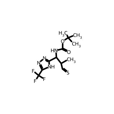 CC(C=S)C(NC(=O)OC(C)(C)C)c1nnc(C(F)(F)F)[nH]1